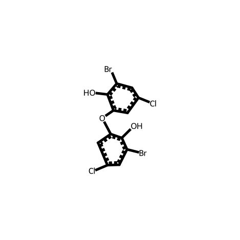 Oc1c(Br)cc(Cl)cc1Oc1cc(Cl)cc(Br)c1O